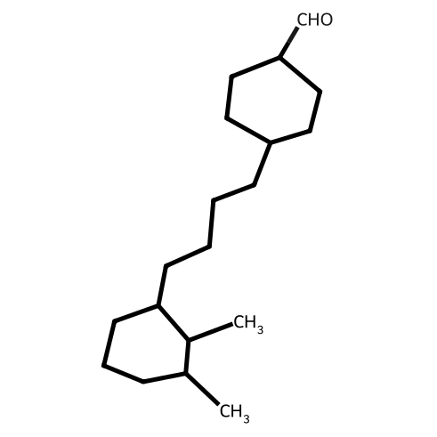 CC1CCCC(CCCCC2CCC(C=O)CC2)C1C